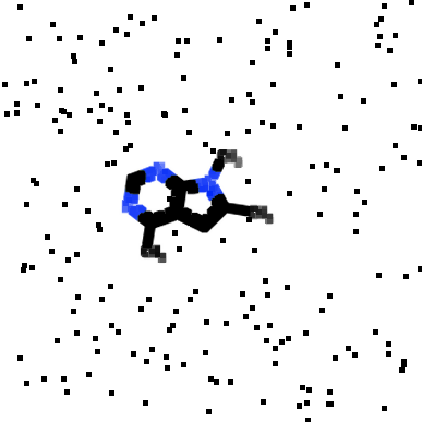 Cc1ncnc2c1cc(C)n2C